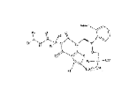 CCOC(=O)c1sc2c(c1CC)c(=O)n(C(CC)(CC)C(=O)NC(CC)CC)c(=O)n2C[C@H](OCC(C)(C#N)CC)c1ccccc1OC